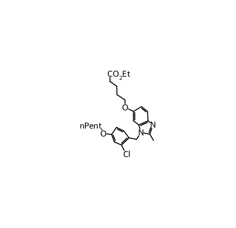 CCCCCOc1ccc(Cn2c(C)nc3ccc(OCCCCC(=O)OCC)cc32)c(Cl)c1